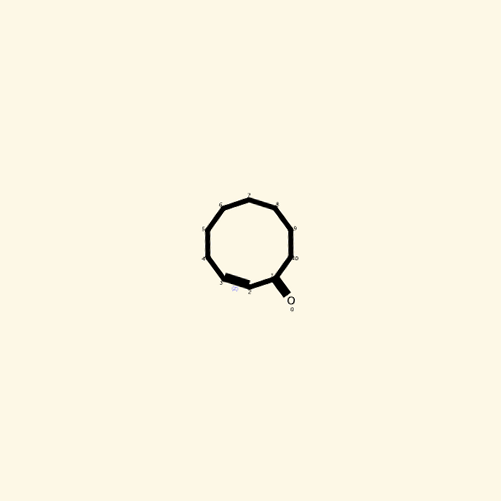 O=C1/C=C\CCCCCCC1